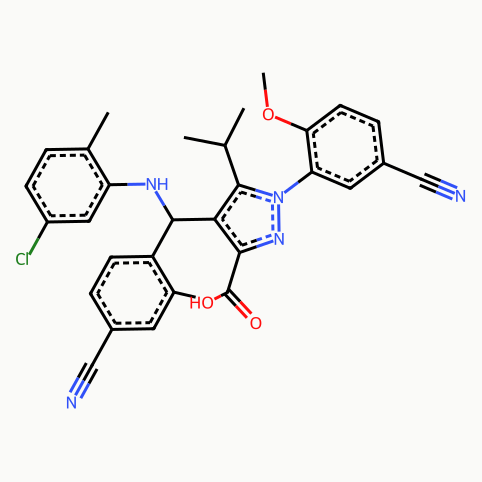 COc1ccc(C#N)cc1-n1nc(C(=O)O)c(C(Nc2cc(Cl)ccc2C)c2ccc(C#N)cc2C)c1C(C)C